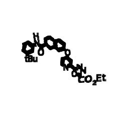 CCOC(=O)c1nnc(-c2cc(Oc3ccc4c(c3)CC(C(=O)Nc3cccc(C(C)(C)C)c3)CC4)ccn2)o1